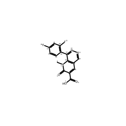 Cn1c(=O)c(C(=O)O)cc2cnnc(-c3ccc(F)cc3F)c21